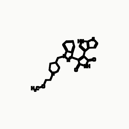 COCCN1CCC(Cn2nc(C3=C(c4c[nH]c5sccc45)C(=O)NC3=O)c3ccccc32)CC1